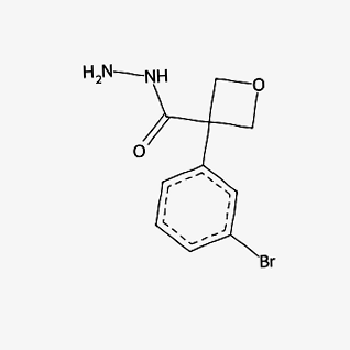 NNC(=O)C1(c2cccc(Br)c2)COC1